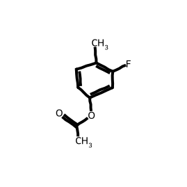 CC(=O)Oc1ccc(C)c(F)c1